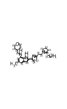 Cc1cc(NCC2CCOCC2)c2[nH]c(C3=N[C@@H](CCN4CCC[C@@H]4CO)CS3)cc2c1